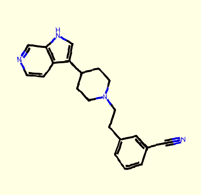 N#Cc1cccc(CCN2CCC(c3c[nH]c4cnccc34)CC2)c1